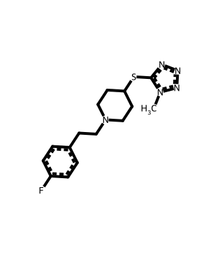 Cn1nnnc1SC1CCN(CCc2ccc(F)cc2)CC1